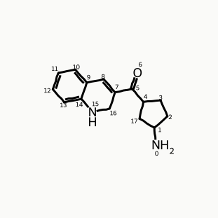 NC1CCC(C(=O)C2=Cc3ccccc3NC2)C1